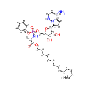 CCCCCC/C=C\C/C=C\CCCCCCCCOC(=O)[C@H](C)NP(=O)(OC[C@H]1O[C@@H](c2ccc3c(N)ccnn23)[C@H](O)[C@@H]1O)Oc1ccccc1